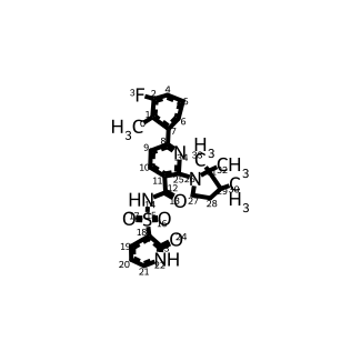 Cc1c(F)cccc1-c1ccc(C(=O)NS(=O)(=O)c2ccc[nH]c2=O)c(N2CCC(C)C2(C)C)n1